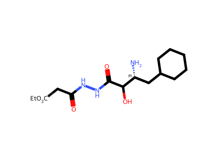 CCOC(=O)CC(=O)NNC(=O)C(O)[C@H](N)CC1CCCCC1